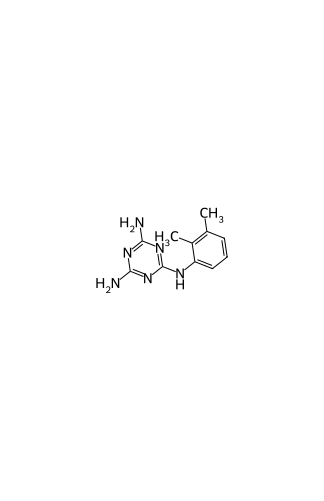 Cc1cccc(Nc2nc(N)nc(N)n2)c1C